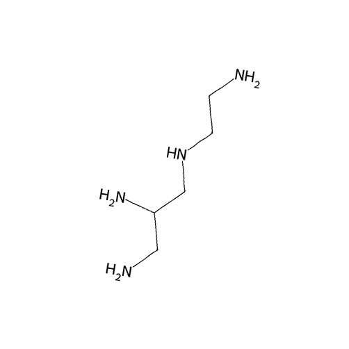 NCCNCC(N)CN